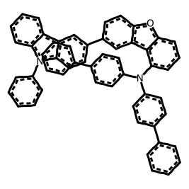 c1ccc(-c2ccc(N(c3ccc(-c4ccccc4)cc3)c3cccc4oc5ccc(-c6ccc7c(c6)c6ccccc6n7-c6ccccc6)cc5c34)cc2)cc1